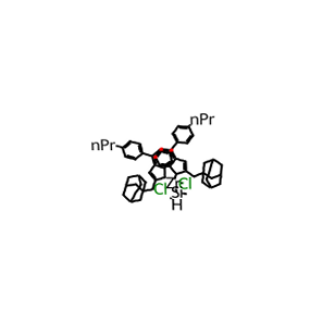 CCCc1ccc(-c2cccc3c2C=C(CC24CC5CC(CC(C5)C2)C4)[CH]3[Zr]([Cl])([Cl])([CH]2C(CC34CC5CC(CC(C5)C3)C4)=Cc3c(-c4ccc(CCC)cc4)cccc32)[SiH](C)C)cc1